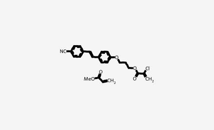 C=C(Cl)C(=O)OCCCOc1ccc(C=Cc2ccc(C#N)cc2)cc1.C=CC(=O)OC